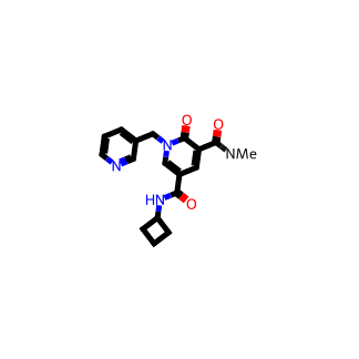 CNC(=O)c1cc(C(=O)NC2CCC2)cn(Cc2cccnc2)c1=O